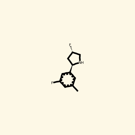 Cc1cc(F)cc([C@H]2C[C@H](F)CN2)c1